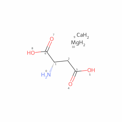 N[C@@H](CC(=O)O)C(=O)O.[CaH2].[MgH2]